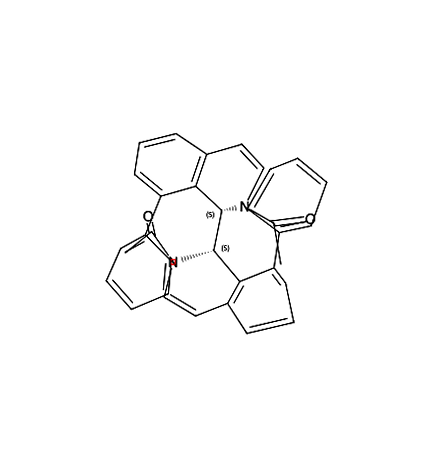 CC(=O)N1C=Cc2cccc(-c3ccccc3)c2[C@H]1[C@@H]1c2c(cccc2-c2ccccc2)C=CN1C(C)=O